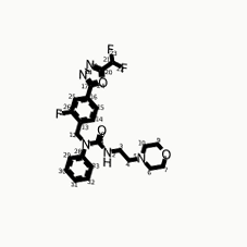 O=C(NCCN1CCOCC1)N(Cc1ccc(-c2nnc(C(F)F)o2)cc1F)c1ccccc1